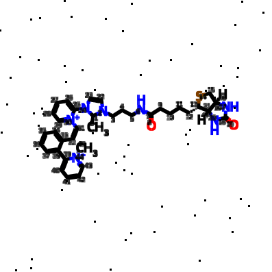 CC1N(CCCNC(=O)CCCC[C@@H]2SC[C@@H]3NC(=O)N[C@@H]32)C=CN1c1cccc[n+]1/C=C\c1ccccc1-c1cccc[n+]1C